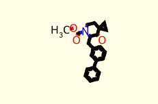 COC(=O)N1CCC2(CC2)C(=O)C1Cc1cccc(-c2ccccc2)c1